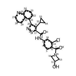 O=C(Nc1ccc(C(=O)N2CC(O)C2)c(Cl)c1)c1snc(-c2cccc3ncccc23)c1C1CC1